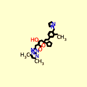 CCc1cc(CCC2(C3CCCC3)CC(O)=C(Cc3nc4nc(C)cc(C)n4n3)C(=O)O2)ccc1Cn1cccn1